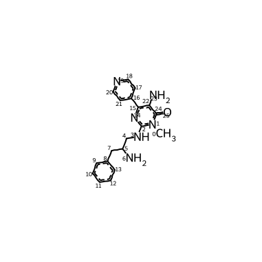 Cn1c(NCC(N)Cc2ccccc2)nc(-c2ccncc2)c(N)c1=O